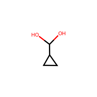 OC(O)C1CC1